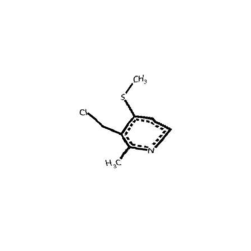 CSc1ccnc(C)c1CCl